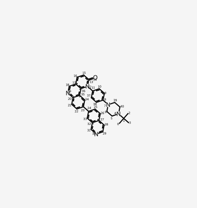 CC(C)(C)N1CCN(c2ccc(-n3c(=O)ccc4cnc5ccc(-c6ccc7ccncc7c6)cc5c43)cc2)CC1